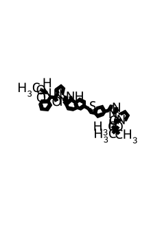 COC(=O)N[C@@H](C(=O)N1CCC[C@H]1c1nc2ccc3cc(-c4cc5ccc(-c6cnc([C@@H]7CCCN7C(=O)OC(C)(C)C)[nH]6)cc5s4)ccc3c2[nH]1)c1ccccc1